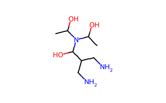 CC(O)N(C(C)O)C(O)C(CN)CN